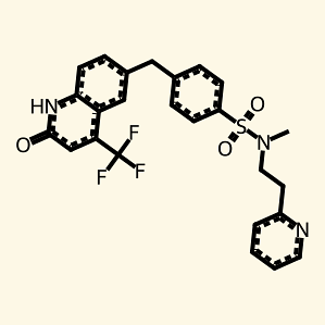 CN(CCc1ccccn1)S(=O)(=O)c1ccc(Cc2ccc3[nH]c(=O)cc(C(F)(F)F)c3c2)cc1